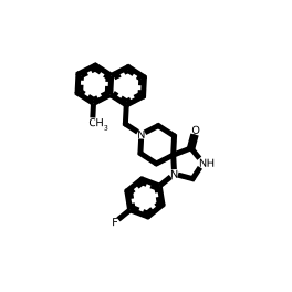 Cc1cccc2cccc(CN3CCC4(CC3)C(=O)NCN4c3ccc(F)cc3)c12